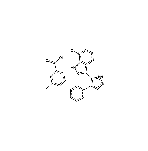 O=C(O)c1cccc(Cl)c1.[O-][n+]1cccc2c(-c3[nH]ncc3-c3ccccc3)c[nH]c21